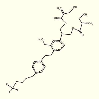 C=C(CO)C(=O)OCC(COC(=O)C(=C)CO)c1ccc(CCc2ccc(CCCCC(F)(F)F)cc2)c(CC)c1